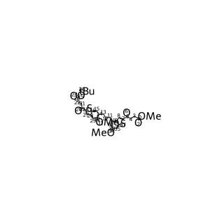 COC(=O)CCC(=O)c1cc2c(CCCc3cc4sc(C(=O)CCC(=O)OC(C)(C)C)cc4cc3OC)cc(OC)cc2s1